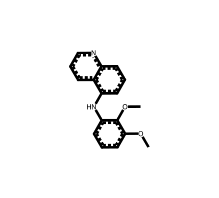 COc1cccc(Nc2cccc3ncccc23)c1OC